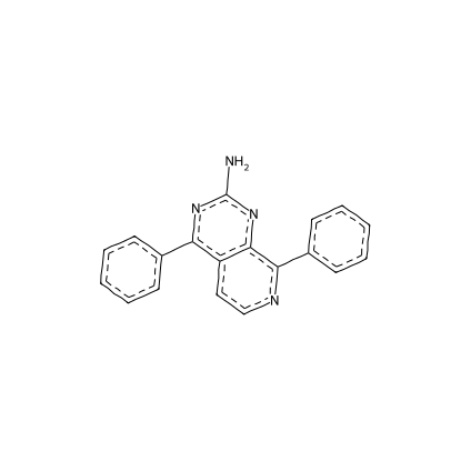 Nc1nc(-c2ccccc2)c2ccnc(-c3ccccc3)c2n1